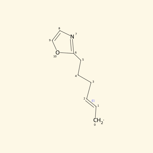 [CH2]/C=C/CCCc1ncco1